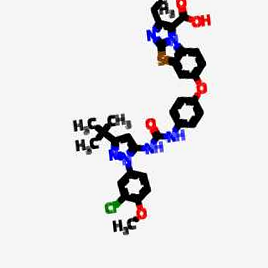 CCc1nc2sc3cc(Oc4ccc(NC(=O)Nc5cc(C(C)(C)C)nn5-c5ccc(OC)c(Cl)c5)cc4)ccc3n2c1C(=O)O